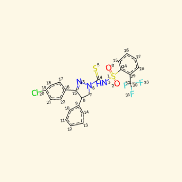 O=S(=O)(NC(=S)N1CC(c2ccccc2)C(c2ccc(Cl)cc2)=N1)c1ccccc1C(F)(F)F